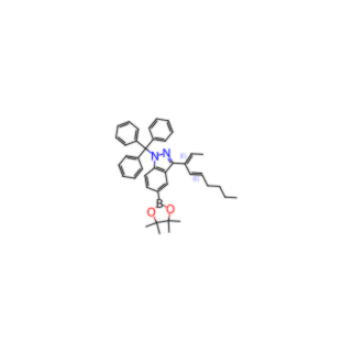 C/C=C(\C=C\CCCC)c1nn(C(c2ccccc2)(c2ccccc2)c2ccccc2)c2ccc(B3OC(C)(C)C(C)(C)O3)cc12